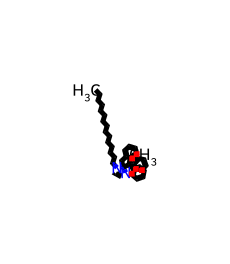 CCCCCCCCCCCCCCCN1C=CN(Cc2ccccc2)C1(Cc1ccccc1)C(CC)c1ccccc1